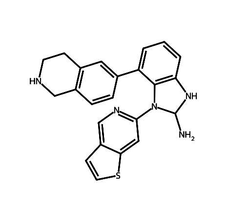 NC1Nc2cccc(-c3ccc4c(c3)CCNC4)c2N1c1cc2sccc2cn1